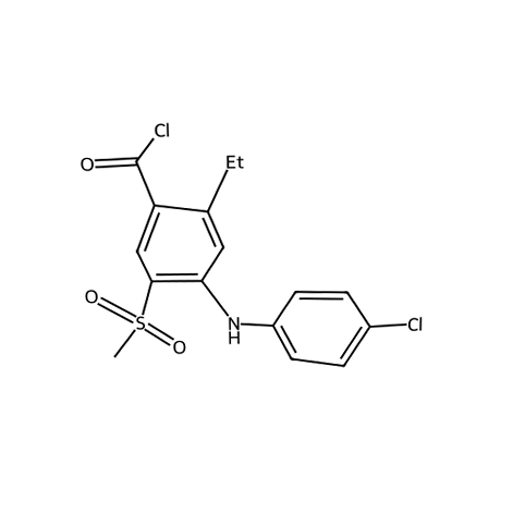 CCc1cc(Nc2ccc(Cl)cc2)c(S(C)(=O)=O)cc1C(=O)Cl